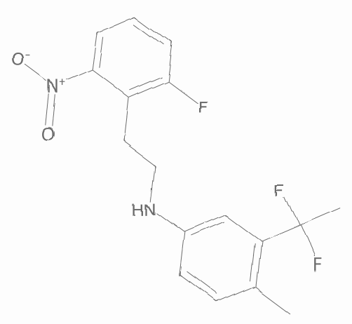 Cc1ccc(NCCc2c(F)cccc2[N+](=O)[O-])cc1C(C)(F)F